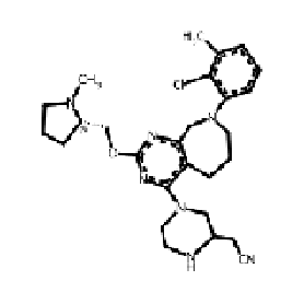 Cc1cccc(N2CCCc3c(nc(OC[C@@H]4CCCN4C)nc3N3CCNC(CC#N)C3)C2)c1Cl